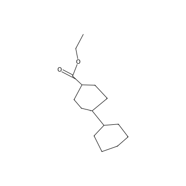 CCOC(=O)C1CC[C](C2CCCCC2)CC1